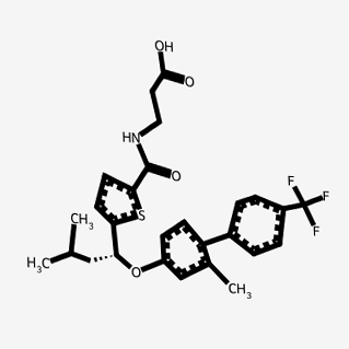 Cc1cc(O[C@H](CC(C)C)c2ccc(C(=O)NCCC(=O)O)s2)ccc1-c1ccc(C(F)(F)F)cc1